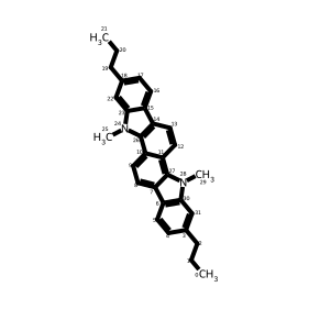 CCCc1ccc2c3ccc4c(ccc5c6ccc(CCC)cc6n(C)c54)c3n(C)c2c1